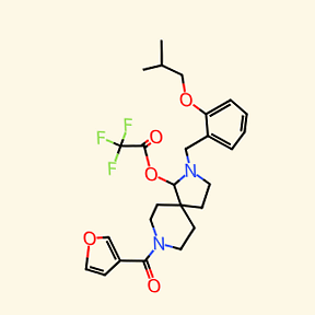 CC(C)COc1ccccc1CN1CCC2(CCN(C(=O)c3ccoc3)CC2)C1OC(=O)C(F)(F)F